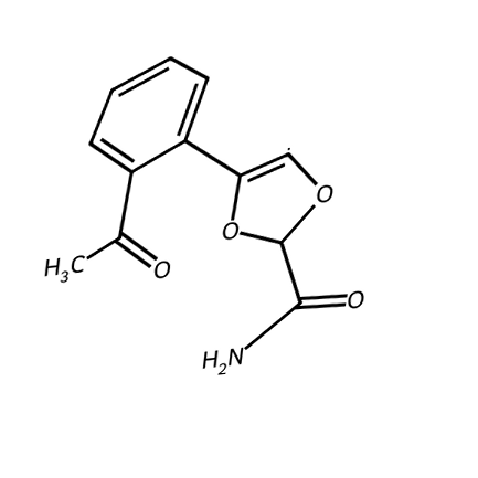 CC(=O)c1ccccc1C1=[C]OC(C(N)=O)O1